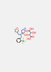 FC(F)(F)c1ccccc1CN(CC1CCOC1)[C@H]1CCNC1.O=C(O)C(O)C(O)C(=O)O